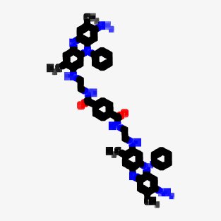 CC1=CC2=Nc3cc(C)c(N)cc3N(c3ccccc3)C2C=C1NCCNC(=O)c1ccc(C(=O)NCCNc2cc3c(cc2C)nc2cc(C)c(N)cc2[n+]3-c2ccccc2)cc1